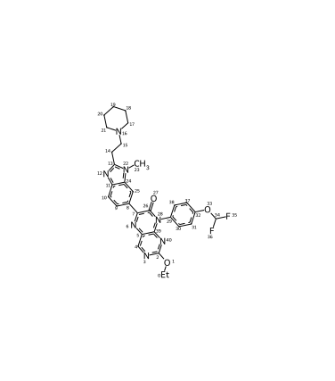 CCOc1ncc2nc(-c3ccc4nc(CCN5CCCCC5)n(C)c4c3)c(=O)n(-c3ccc(OC(F)F)cc3)c2n1